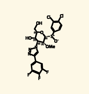 CO[C@@H]1[C@@H](n2cc(-c3cc(F)c(F)c(F)c3)nn2)[C@@H](O)[C@@H](CO)O[C@@H]1[S+]([O-])c1ccc(Cl)c(Cl)c1